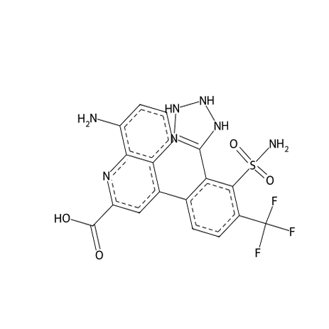 Nc1cccc2c(-c3ccc(C(F)(F)F)c(S(N)(=O)=O)c3C3=NNNN3)cc(C(=O)O)nc12